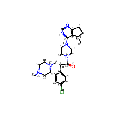 C[C@@H]1CCc2ncnc(N3CCN(C(=O)[C@@H](CN4CCN(C)CC4)c4ccc(Cl)cc4)CC3)c21